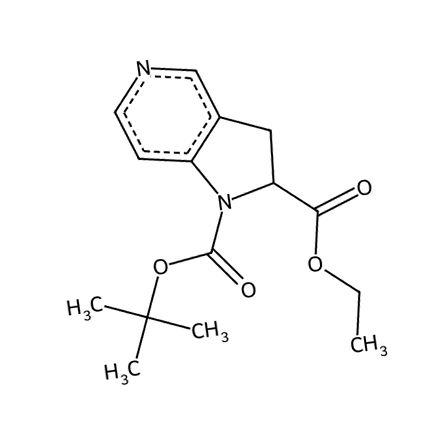 CCOC(=O)C1Cc2cnccc2N1C(=O)OC(C)(C)C